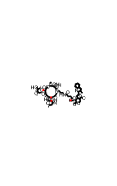 CC[C@H]1OC(=O)[C@H](C)[C@@H](OC2C[C@@](C)(OC)[C@@H](O)[C@H](C)O2)[C@H](C)C(O[C@@H]2O[C@H](C)C[C@H](N(C)C)[C@H]2O)[C@](C)(O)C[C@@H](C)CN(CCCNC(=O)CCC(=O)O[C@]2(CC)C(=O)OCc3c2cc2n(c3=O)Cc3cc4ccccc4nc3-2)[C@H](C)[C@@H](O)[C@]1(C)O